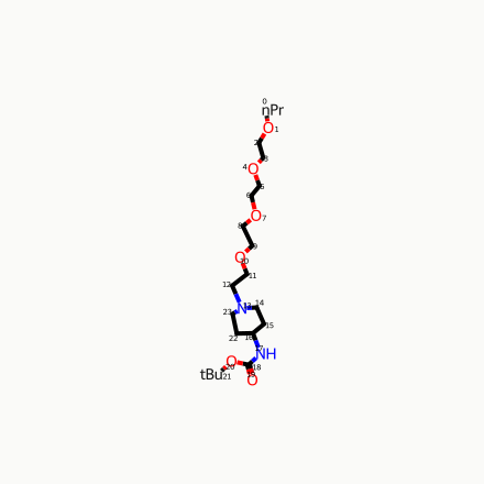 CCCOCCOCCOCCOCCN1CCC(NC(=O)OC(C)(C)C)CC1